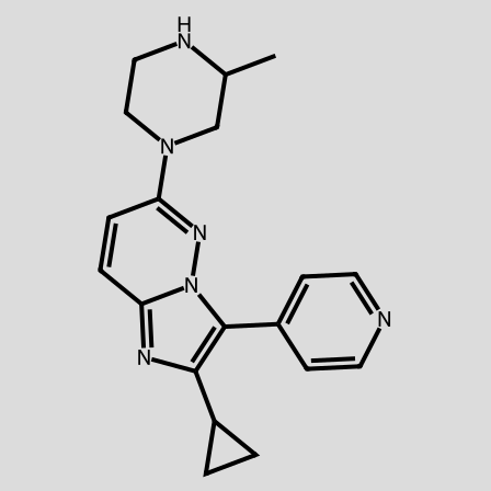 CC1CN(c2ccc3nc(C4CC4)c(-c4ccncc4)n3n2)CCN1